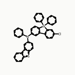 Clc1ccc2c(c1)[Si](c1ccccc1)(c1ccccc1)c1ccc(N(c3ccccc3)c3ccc4sc5ccccc5c4c3)cc1-2